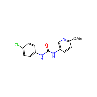 COc1ccc(NC(=O)Nc2ccc(Cl)cc2)cn1